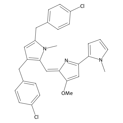 COC1=CC(c2cccn2C)=N/C1=C\c1c(Cc2ccc(Cl)cc2)cc(Cc2ccc(Cl)cc2)n1C